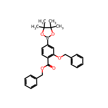 CC1(C)OB(c2ccc(C(=O)OCc3ccccc3)c(OCc3ccccc3)c2)OC1(C)C